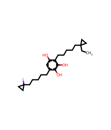 CCC1(CCCCCc2c(O)cc(CCCCCC3(I)CC3)c(O)c2O)CC1